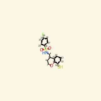 O=S(=O)(NCC1CCOc2c(S)cccc21)c1ccc(F)cc1